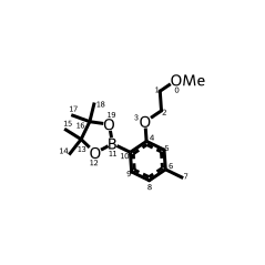 COCCOc1cc(C)ccc1B1OC(C)(C)C(C)(C)O1